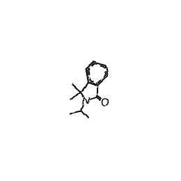 CC(C)N1C(=O)c2ccccc2C1(C)C